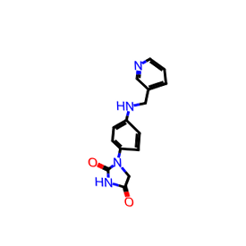 O=C1CN(c2ccc(NCc3cccnc3)cc2)C(=O)N1